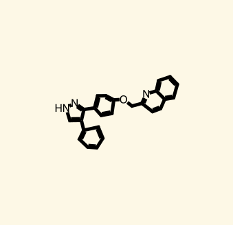 c1ccc(-c2c[nH]nc2-c2ccc(OCc3ccc4ccccc4n3)cc2)cc1